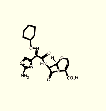 Nc1nc(/C(=N\OC2CCCCC2)C(=O)NC2C(=O)N3C(C(=O)O)=CCS[C@H]23)cs1